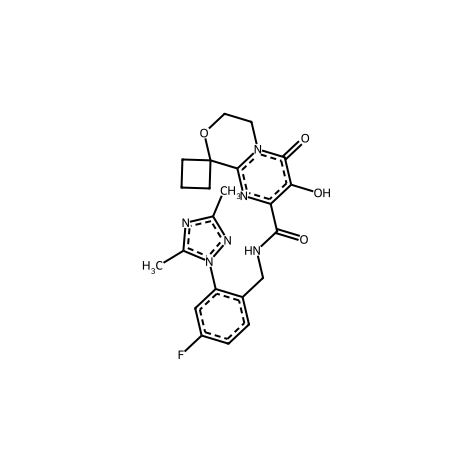 Cc1nc(C)n(-c2cc(F)ccc2CNC(=O)c2nc3n(c(=O)c2O)CCOC32CCC2)n1